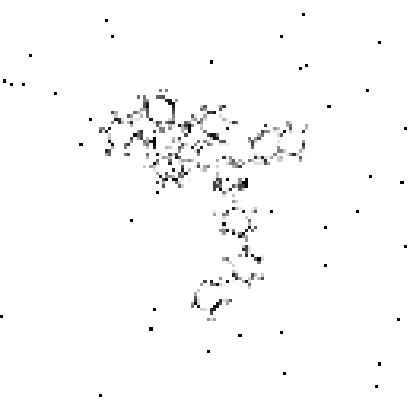 c1ccc(-c2cccc(-c3ccc(-c4nc(-c5ccc6ccccc6c5)nc(-c5cccc6c5c5ccccc5n6-c5cccc6c7ccccc7n(-c7ccccc7)c56)n4)cc3)c2)cc1